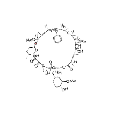 CO[C@H]1C[C@@H]2CC[C@@H](C)[C@@](O)(O2)C(=O)C(=O)N2CCCC3[C@H]2C(=O)O[C@@H](CC(=O)[C@H](C)/C=C(\C)[C@@H](O)[C@@H](OC)C(=O)[C@H](C)C[C@H](C)[C@@H]2C=C[C@H](/C=C/1C)ON2c1ccccc1)[C@H]3C[C@@H]1CC[C@@H](O)[C@H](OC)C1